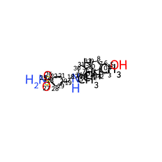 C[C@]12CCC(O)CC1=CC[C@@H]1[C@H]2CC[C@]2(C)C(NCCc3ccc(S(N)(=O)=O)cc3)CC[C@@H]12